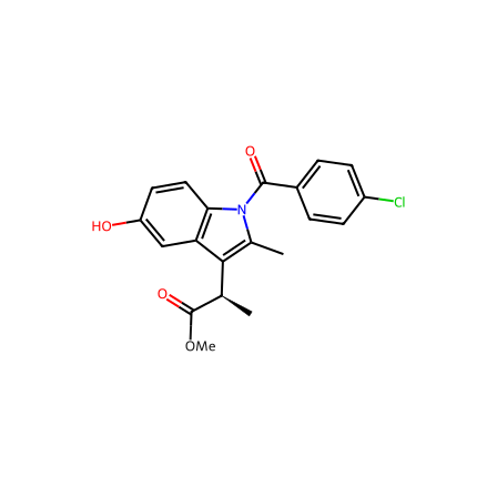 COC(=O)[C@H](C)c1c(C)n(C(=O)c2ccc(Cl)cc2)c2ccc(O)cc12